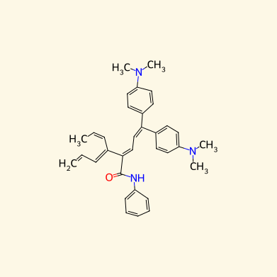 C=C/C=C(\C=C/C)C(=C\C=C(c1ccc(N(C)C)cc1)c1ccc(N(C)C)cc1)/C(=O)Nc1ccccc1